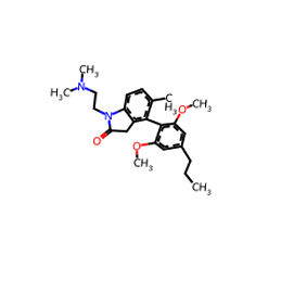 CCCc1cc(OC)c(-c2c(C)ccc3c2CC(=O)N3CCN(C)C)c(OC)c1